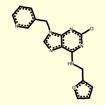 Clc1nc(NCc2ccco2)c2ncn(Cc3cccnc3)c2n1